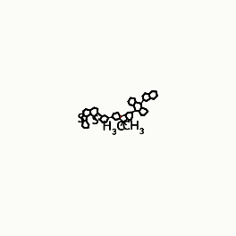 CC1(C)c2ccc(-c3c4ccccc4c(-c4ccc5ccccc5c4)c4ccccc34)cc2-c2ccc(-c3ccc4sc5c(ccc6ccc7sc8ccccc8c7c65)c4c3)cc21